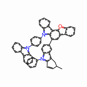 CC1C=Cc2c(c3cc(-c4cc5c6ccccc6oc5c5c6ccccc6n(-c6ccc(-n7c8ccccc8c8ccccc87)cc6)c45)ccc3n2-c2ccccc2)C1